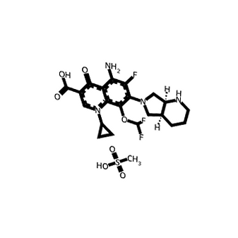 CS(=O)(=O)O.Nc1c(F)c(N2C[C@@H]3CCCN[C@@H]3C2)c(OC(F)F)c2c1c(=O)c(C(=O)O)cn2C1CC1